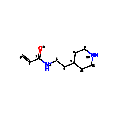 C=CC(=O)NCCC1CCNCC1